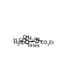 CCCCCCc1cc2c(cc1C#Cc1ccc(CC(=O)OCC)nn1)C(C)(C)CC(C)(C)O2